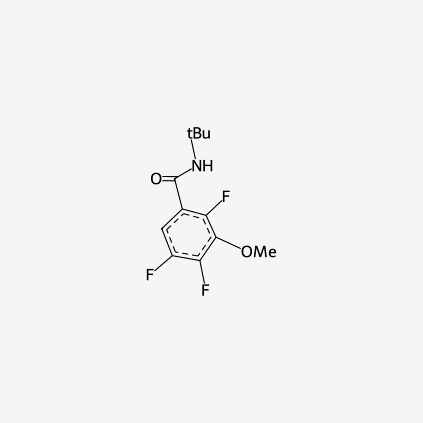 COc1c(F)c(F)cc(C(=O)NC(C)(C)C)c1F